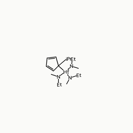 CC[N](C)[Hf]([N](C)CC)([N](C)CC)[C]1(C(C)C)C=CC=C1